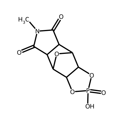 CN1C(=O)C2C3OC(C4OP(=O)(O)OC43)C2C1=O